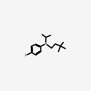 CC(C)N(CCC(C)(C)C)c1ccc(F)cc1